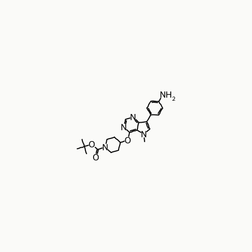 Cn1cc(-c2ccc(N)cc2)c2ncnc(OC3CCN(C(=O)OC(C)(C)C)CC3)c21